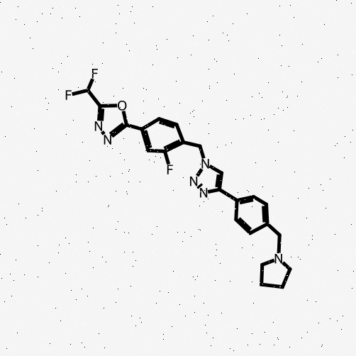 Fc1cc(-c2nnc(C(F)F)o2)ccc1Cn1cc(-c2ccc(CN3CCCC3)cc2)nn1